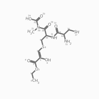 CCOC(=O)C(O)=CSCC(NC(=O)C(N)CS)C(=O)N(C)C(=O)O